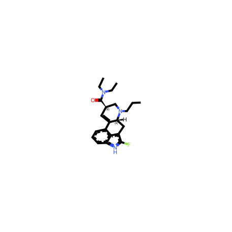 CCCN1C[C@H](C(=O)N(CC)CC)C=C2c3cccc4[nH]c(F)c(c34)C[C@H]21